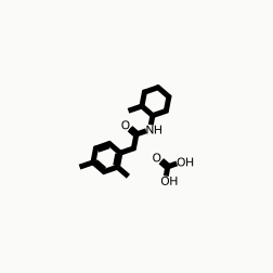 Cc1ccc(CC(=O)NC2CCCCC2C)c(C)c1.O=C(O)O